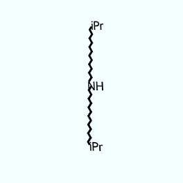 CC(C)CCCCCCCCCCCCCNCCCCCCCCCCCCCC(C)C